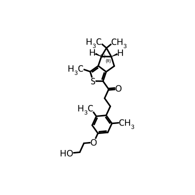 Cc1cc(OCCO)cc(C)c1CCC(=O)c1sc(C)c2c1C[C@@H]1[C@H]2C1(C)C